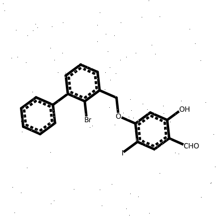 O=Cc1cc(I)c(OCc2cccc(-c3ccccc3)c2Br)cc1O